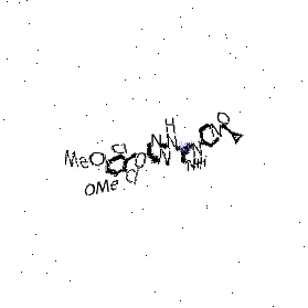 COc1cc(OC)c(Cl)c(COc2cnc(N/C(C=N)=C/NC3CCN(C(=O)C4CC4)CC3)nc2)c1Cl